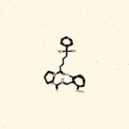 COc1cccc(OC)c1CNC(=O)[C@H]1CCCN1C(=O)CCCCC(C#N)(c1ccccc1)C(C)C